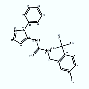 O=C(NCc1cc(F)ccc1C(F)(F)F)Nc1ccnn1-c1ccccc1